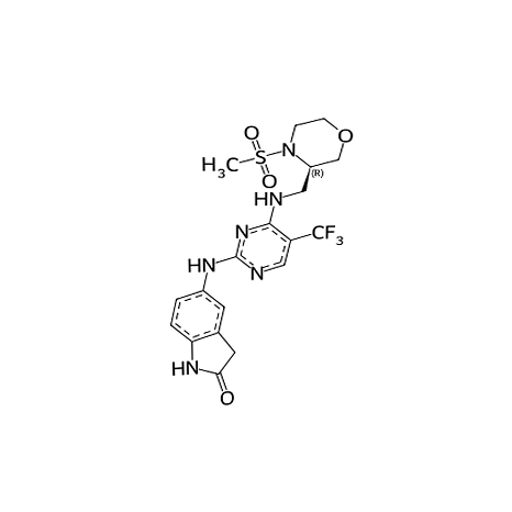 CS(=O)(=O)N1CCOC[C@H]1CNc1nc(Nc2ccc3c(c2)CC(=O)N3)ncc1C(F)(F)F